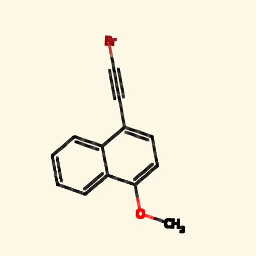 COc1ccc(C#CBr)c2ccccc12